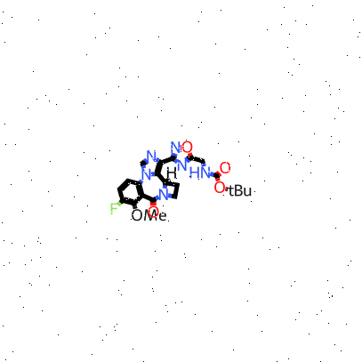 COc1c(F)ccc2c1C(=O)N1CC[C@H]1c1c(-c3noc(CNC(=O)OC(C)(C)C)n3)ncn1-2